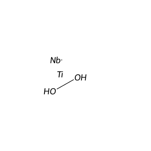 OO.[Nb].[Ti]